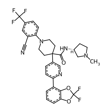 CN1CC[C@@H](NC(=O)C2(c3ccc(-c4cccc5c4OC(F)(F)O5)nc3)CCN(c3ccc(C(F)(F)F)cc3C#N)CC2)C1